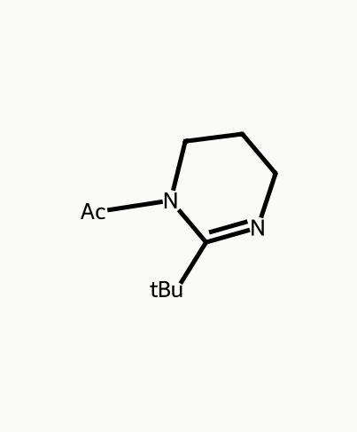 CC(=O)N1CCCN=C1C(C)(C)C